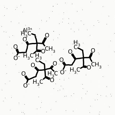 CCC(C(C)=O)(C(C)=O)C(=O)CC(=O)[O-].CCC(C(C)=O)(C(C)=O)C(=O)CC(=O)[O-].CCC(C(C)=O)(C(C)=O)C(=O)CC(=O)[O-].[Al+3]